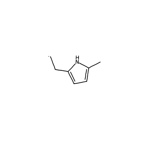 [CH2]Cc1ccc(C)[nH]1